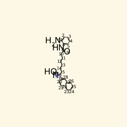 Nc1ccccc1NC(=O)CCCCCC/C(=N\O)c1ccc2ccccc2c1